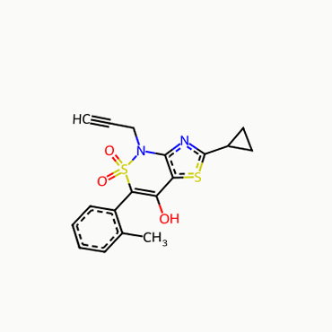 C#CCN1c2nc(C3CC3)sc2C(O)=C(c2ccccc2C)S1(=O)=O